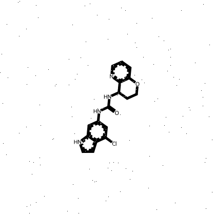 O=C(Nc1cc(Cl)c2cc[nH]c2c1)NC1CCOc2cccnc21